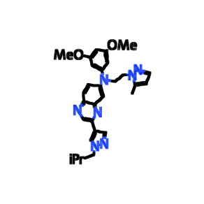 COc1cc(OC)cc(N(CCn2nccc2C)c2ccc3ncc(-c4cnn(CC(C)C)c4)nc3c2)c1